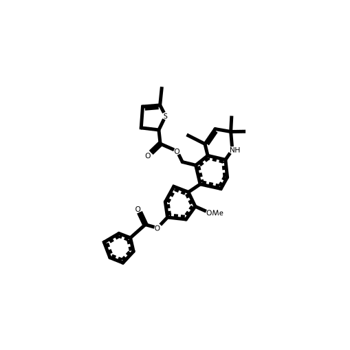 COc1cc(OC(=O)c2ccccc2)ccc1-c1ccc2c(c1COC(=O)C1CC=C(C)S1)C(C)=CC(C)(C)N2